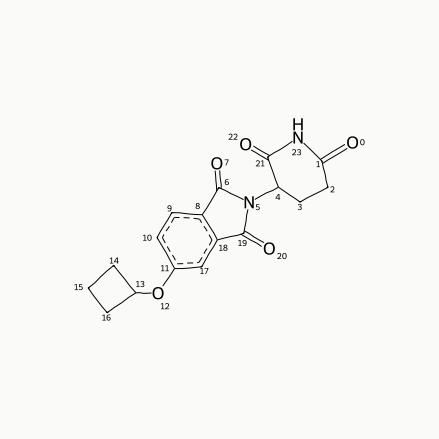 O=C1CCC(N2C(=O)c3ccc(OC4CCC4)cc3C2=O)C(=O)N1